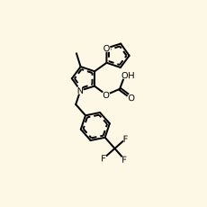 Cc1cn(Cc2ccc(C(F)(F)F)cc2)c(OC(=O)O)c1-c1ccco1